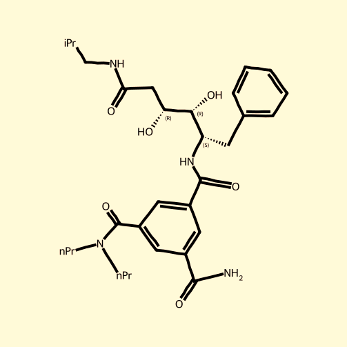 CCCN(CCC)C(=O)c1cc(C(N)=O)cc(C(=O)N[C@@H](Cc2ccccc2)[C@@H](O)[C@H](O)CC(=O)NCC(C)C)c1